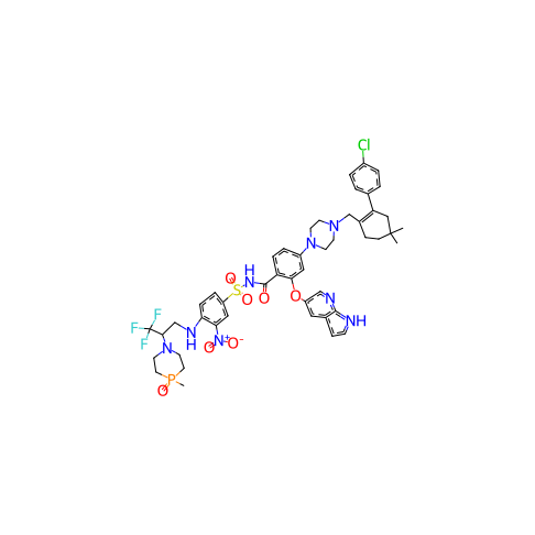 CC1(C)CCC(CN2CCN(c3ccc(C(=O)NS(=O)(=O)c4ccc(NCC(N5CCP(C)(=O)CC5)C(F)(F)F)c([N+](=O)[O-])c4)c(Oc4cnc5[nH]ccc5c4)c3)CC2)=C(c2ccc(Cl)cc2)C1